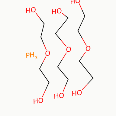 OCCOCCO.OCCOCCO.OCCOCCO.P